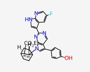 CCOC(=O)[C@@H]1C2CCC(CC2)[C@H]1n1cc(-c2ccc(O)cc2)c2cnc(-c3c[nH]c4ncc(F)cc34)nc21